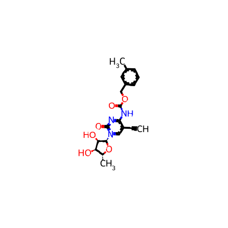 C#Cc1cn([C@@H]2O[C@H](C)[C@@H](O)[C@H]2O)c(=O)nc1NC(=O)OCc1cccc(C)c1